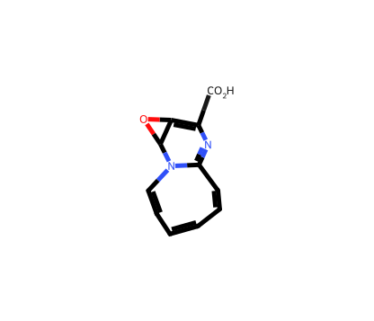 O=C(O)C1=C2OC2N2C=CC=CC=CC2=N1